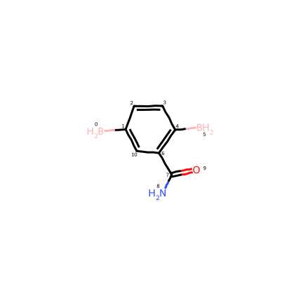 Bc1ccc(B)c(C(N)=O)c1